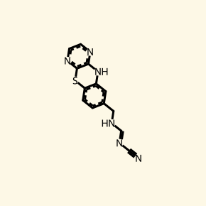 N#CN=CNCc1ccc2c(c1)Nc1nccnc1S2